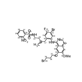 COc1cc2ncnc(Nc3cc(Br)c(F)cc3CN(C)CCNS(=O)(=O)c3ccccc3[N+](=O)[O-])c2cc1OCCCBr